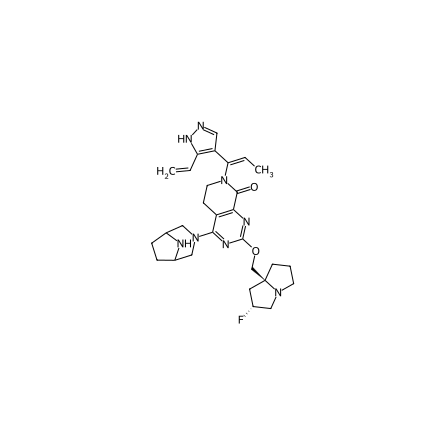 C=Cc1[nH]ncc1/C(=C/C)N1CCc2c(nc(OC[C@@]34CCCN3C[C@H](F)C4)nc2N2CC3CCC(C2)N3)C1=O